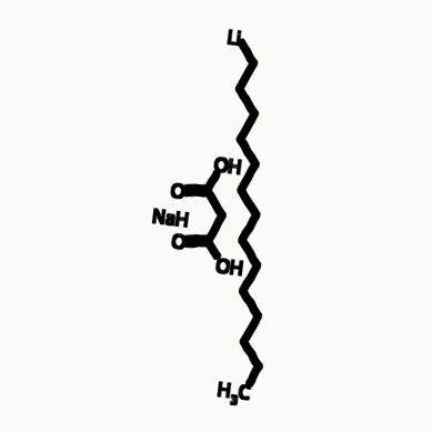 O=C(O)CC(=O)O.[Li][CH2]CCCCCCCCCCCCC.[NaH]